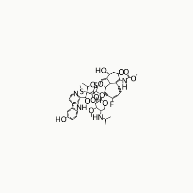 COC(=O)NC1=C2C#C/C=C(/F)C#C[C@H](OC3OC(C)C(SC)(C(=O)c4nccc5c4[nH]c4ccc(O)cc45)C(O)C3OC3CC(OC)C(NC(C)C)CO3)C2/C(=C\CSC(C)=O)[C@@H](O)CC1=O